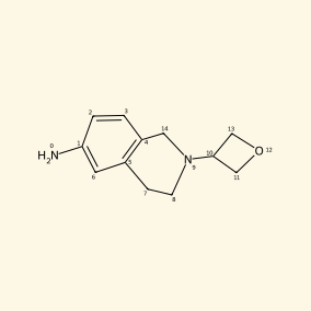 Nc1ccc2c(c1)CCN(C1COC1)C2